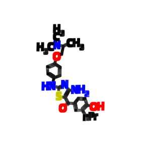 CCCc1cc(C(=O)c2sc(Nc3ccc(OCC(C)N(C)C)cc3)nc2N)ccc1O